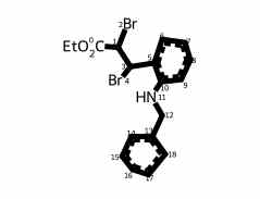 CCOC(=O)C(Br)C(Br)c1ccccc1NCc1ccccc1